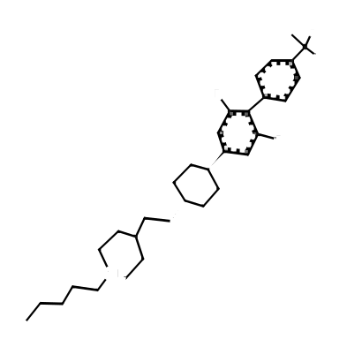 CCCCC[SiH]1CCC(CC[C@H]2CC[C@H](c3cc(F)c(-c4ccc(C(F)(F)F)cc4)c(F)c3)CC2)CC1